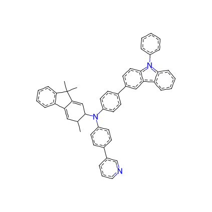 CC1C=C2C(=CC1N(c1ccc(-c3cccnc3)cc1)c1ccc(-c3ccc4c(c3)c3ccccc3n4-c3ccccc3)cc1)C(C)(C)c1ccccc12